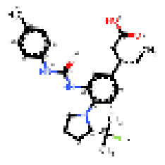 CC[C@@H](CC(=O)O)c1ccc(N2CCC[C@H]2C(C)(C)F)c(NC(=O)Nc2ccc(C)cc2)c1